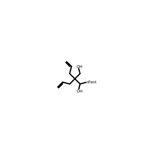 C=CCC(CO)(CC=C)C(O)CCCCC